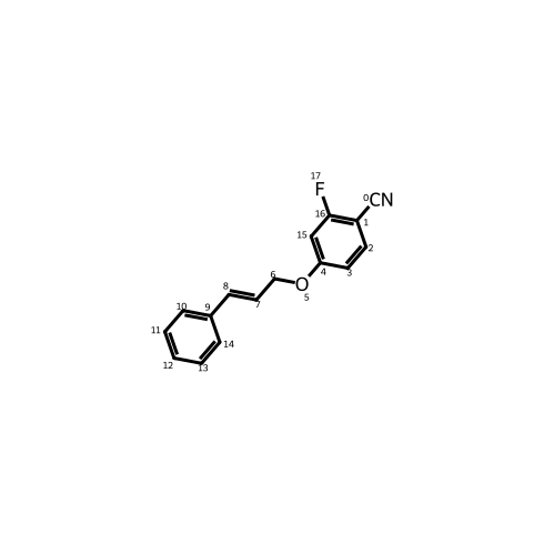 N#Cc1ccc(OCC=Cc2ccccc2)cc1F